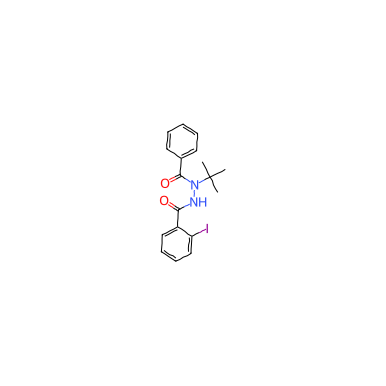 CC(C)(C)N(NC(=O)c1ccccc1I)C(=O)c1ccccc1